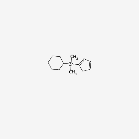 [CH3][Zr]([CH3])([C]1=CC=CC1)[CH]1CCCCC1